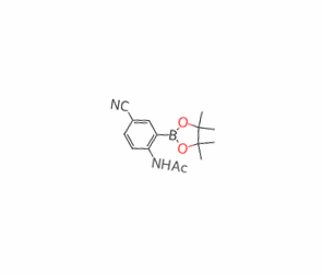 CC(=O)Nc1ccc(C#N)cc1B1OC(C)(C)C(C)(C)O1